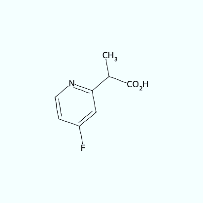 CC(C(=O)O)c1cc(F)ccn1